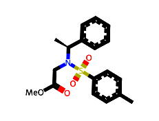 COC(=O)CN([C@@H](C)c1ccccc1)S(=O)(=O)c1ccc(C)cc1